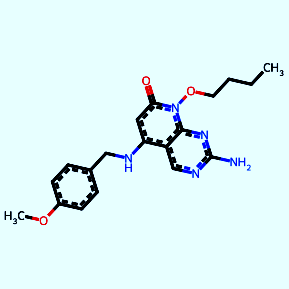 CCCCOn1c(=O)cc(NCc2ccc(OC)cc2)c2cnc(N)nc21